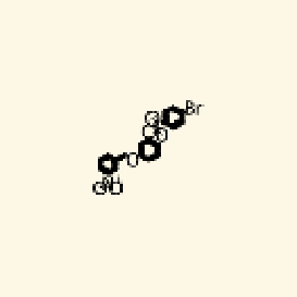 O=[N+]([O-])c1cccc(COc2cccc(OS(=O)(=O)c3ccc(Br)cc3)c2)c1